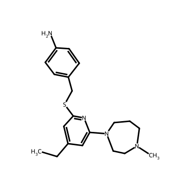 CCc1cc(SCc2ccc(N)cc2)nc(N2CCCN(C)CC2)c1